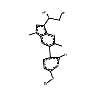 CCC[C@@H](CO)c1cn(C)c2nc(-c3ccc(OCC)nc3CC)c(C)nc12